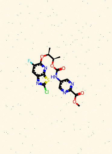 COC(=O)c1ncc(NC(=O)O[C@H](C)[C@H](C)Oc2nc3sc(Cl)nc3cc2F)cn1